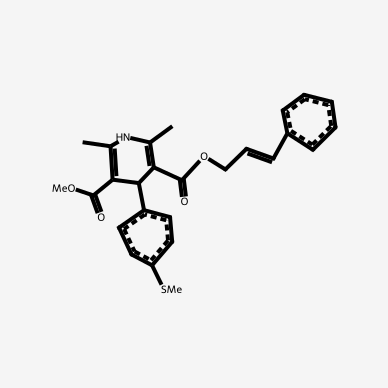 COC(=O)C1=C(C)NC(C)=C(C(=O)OC/C=C/c2ccccc2)C1c1ccc(SC)cc1